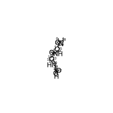 Cc1oc(-c2ccc(NC(=O)c3cccc(CNCC[SH](=O)=O)c3)cc2)nc1I